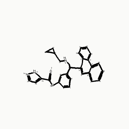 O=C(Nc1cccc(C(NCC2CC2)c2cc3ccccc3c3ccccc23)c1)c1ccn[nH]1